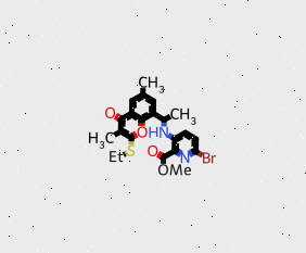 CCSc1oc2c(C(C)Nc3ccc(Br)nc3C(=O)OC)cc(C)cc2c(=O)c1C